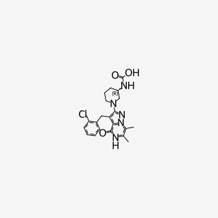 Cc1[nH]c(=O)c2c(Cc3ccccc3Cl)c(N3CCC[C@@H](NC(=O)O)C3)nn2c1C